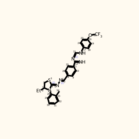 CCC1CS/C(=N\N=C\c2ccc(C(=N)/N=C\Nc3ccc(OC(F)(F)F)cc3)cc2)N1c1ccccc1C